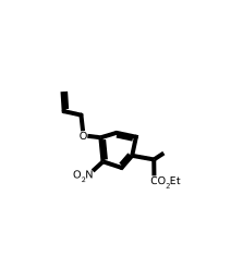 C=CCOc1ccc(C(C)C(=O)OCC)cc1[N+](=O)[O-]